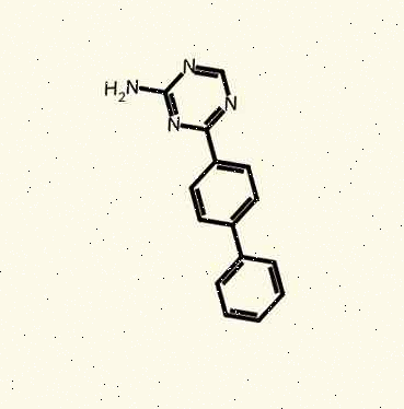 Nc1ncnc(-c2ccc(-c3ccccc3)cc2)n1